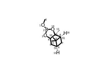 COB1OC2C[C@@H]3C[C@@H](C3(C)C)[C@]2(C)O1